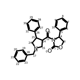 O=C1OCC(c2ccccc2)N1C(=O)C1CN(Cc2ccccc2)CC1c1ccccc1